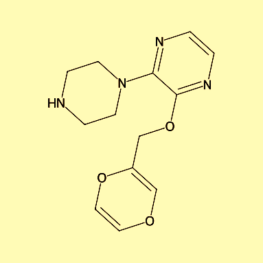 C1=COC(COc2nccnc2N2CCNCC2)=CO1